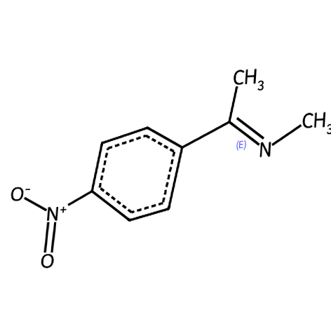 C/N=C(\C)c1ccc([N+](=O)[O-])cc1